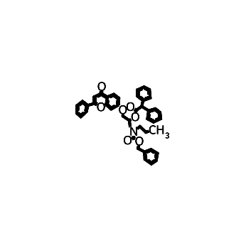 CCCN(CC(COc1ccc2c(=O)cc(-c3ccccc3)oc2c1)OC(=O)C(c1ccccc1)c1ccccc1)C(=O)OCc1ccccc1